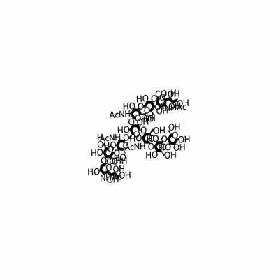 CC(=O)N[C@H]1[C@H](OC[C@H]2O[C@@H](O[C@H]3[C@H](O)[C@@H](NC(C)=O)[C@H](O[C@H]4[C@@H](O)[C@@H](CO)O[C@@H](O[C@H]5[C@H](O)[C@@H](O)[C@H](O)O[C@@H]5CO)[C@@H]4O)O[C@@H]3CO)[C@H](O)[C@@H](O[C@@H]3O[C@H](CO)[C@@H](O[C@@H]4O[C@H](CO)[C@H](O)[C@H](O[C@]5(C(=O)O)C[C@H](O)[C@@H](NC(C)=O)[C@H]([C@H](O)[C@H](O)CO)O5)[C@H]4O)[C@H](O)[C@H]3NC(C)=O)[C@H]2O)O[C@H](CO)[C@@H](O[C@@H]2O[C@H](CO)[C@H](O)[C@H](O[C@]3(C(=O)O)C[C@H](O)[C@@H](NC(C)=O)[C@H]([C@H](O)[C@H](O)CO)O3)[C@H]2O)[C@@H]1O